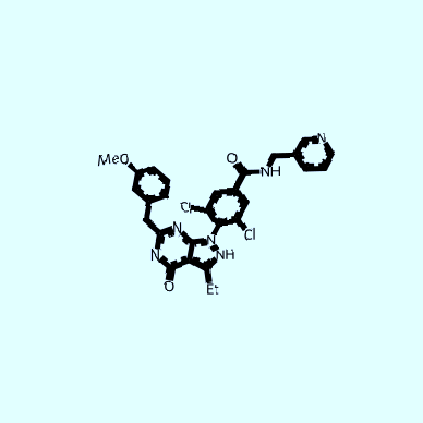 CCc1[nH]n(-c2c(Cl)cc(C(=O)NCc3cccnc3)cc2Cl)c2nc(Cc3cccc(OC)c3)nc(=O)c1-2